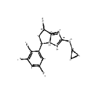 Fc1cc(F)c(F)c(C2CC(F)c3nc(SC4CC4)nn32)c1